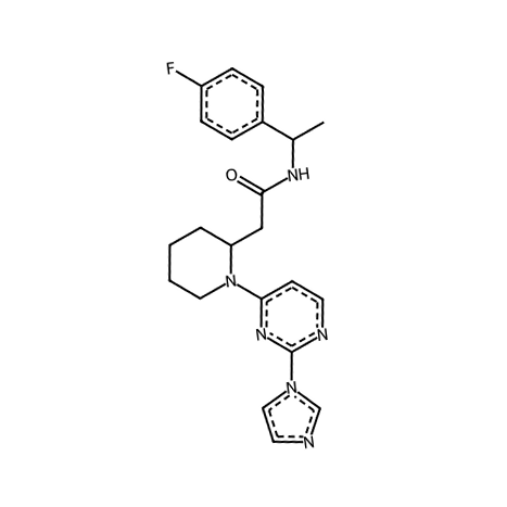 CC(NC(=O)CC1CCCCN1c1ccnc(-n2ccnc2)n1)c1ccc(F)cc1